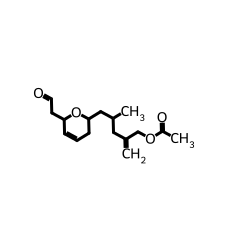 C=C(COC(C)=O)CC(C)CC1CC=CC(CC=O)O1